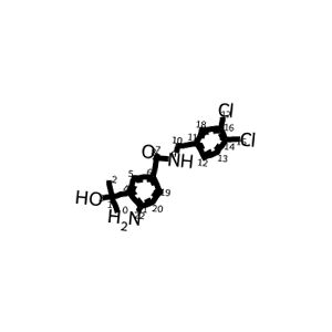 CC(C)(O)c1cc(C(=O)NCc2ccc(Cl)c(Cl)c2)ccc1N